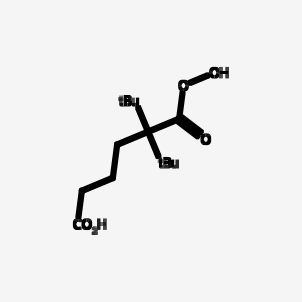 CC(C)(C)C(CCCC(=O)O)(C(=O)OO)C(C)(C)C